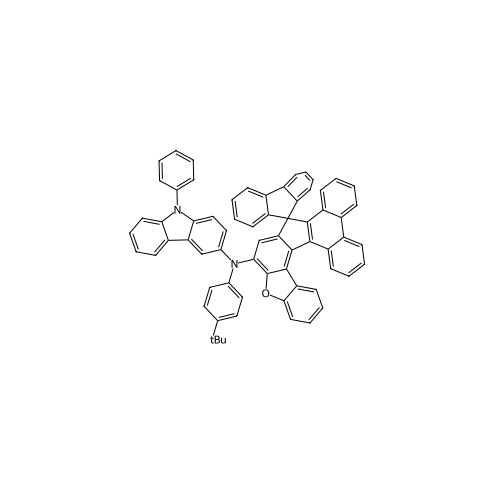 CC(C)(C)c1ccc(N(c2ccc3c(c2)c2ccccc2n3-c2ccccc2)c2cc3c(c4c2oc2ccccc24)-c2c(c4ccccc4c4ccccc24)C32c3ccccc3-c3ccccc32)cc1